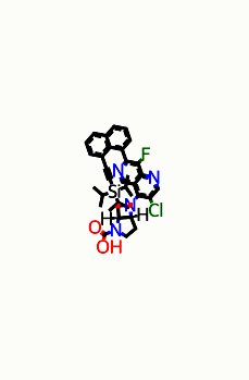 CC(C)[Si](C#Cc1cccc2cccc(-c3ncc4c(N5C[C@@H]6[C@H]5CCN6C(=O)O)c(Cl)cnc4c3F)c12)(C(C)C)C(C)C